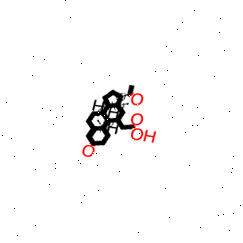 CC(=O)[C@H]1CC[C@H]2[C@@H]3CCC4=CC(=O)CC[C@]4(C)[C@H]3C(CC(=O)O)C[C@]12C